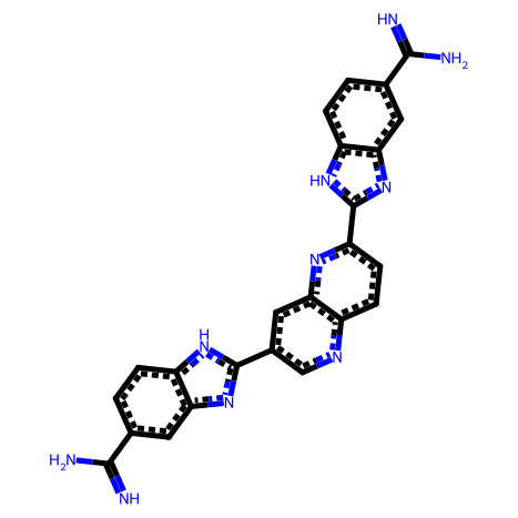 N=C(N)c1ccc2[nH]c(-c3cnc4ccc(-c5nc6cc(C(=N)N)ccc6[nH]5)nc4c3)nc2c1